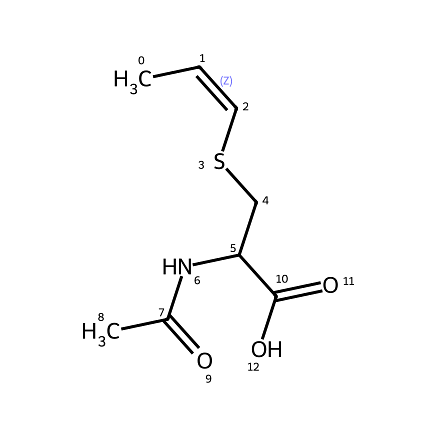 C/C=C\SCC(NC(C)=O)C(=O)O